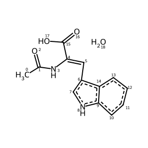 CC(=O)N/C(=C\c1c[nH]c2ccccc12)C(=O)O.O